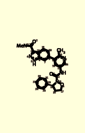 CNC(=O)c1n[nH]c2cc(-c3cc(NC(=O)N4OCC[C@H]4c4ccccc4)cnc3C)ccc12